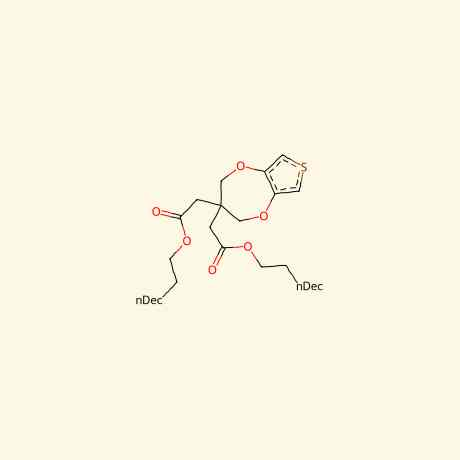 CCCCCCCCCCCCOC(=O)CC1(CC(=O)OCCCCCCCCCCCC)COc2cscc2OC1